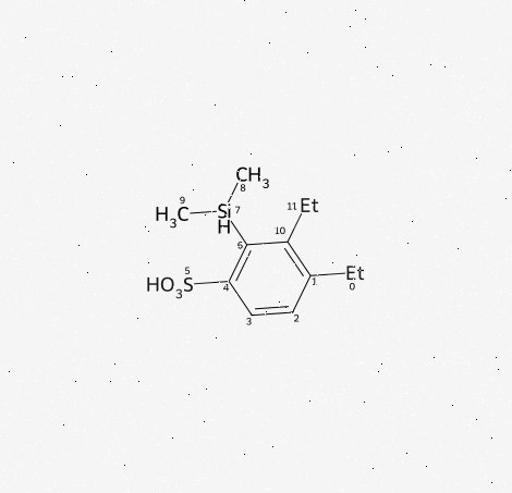 CCc1ccc(S(=O)(=O)O)c([SiH](C)C)c1CC